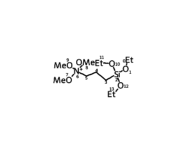 CCO[Si](CCC[N+](OC)(OC)OC)(OCC)OCC